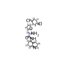 N/C(=C\c1ccc(-c2cc(Cl)ccc2Cl)o1)C(=O)Nc1cccc2ncccc12